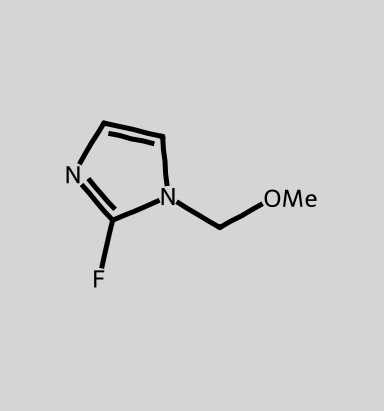 COCn1ccnc1F